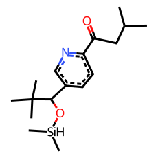 CC(C)CC(=O)c1ccc(C(O[SiH](C)C)C(C)(C)C)cn1